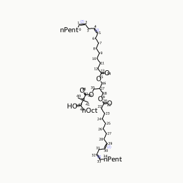 CCCCC/C=C\C/C=C\CCCCCCCC(=O)OCC(COC(=O)CCCCCCC/C=C\C/C=C\CCCCC)COC(=O)C(C)(C)C(O)CCCCCCCC